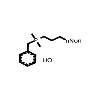 CCCCCCCCCCCC[P+](C)(C)Cc1ccccc1.[OH-]